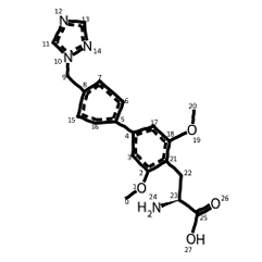 COc1cc(-c2ccc(Cn3cncn3)cc2)cc(OC)c1C[C@H](N)C(=O)O